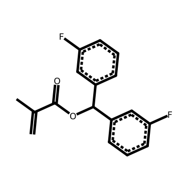 C=C(C)C(=O)OC(c1cccc(F)c1)c1cccc(F)c1